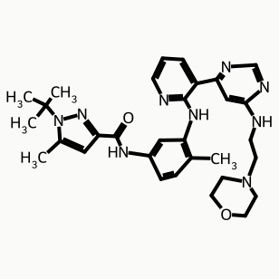 Cc1ccc(NC(=O)c2cc(C)n(C(C)(C)C)n2)cc1Nc1ncccc1-c1cc(NCCN2CCOCC2)ncn1